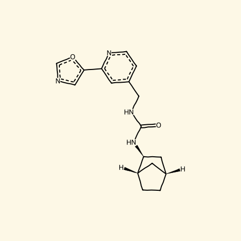 O=C(NCc1ccnc(-c2cnco2)c1)N[C@H]1C[C@@H]2CC[C@H]1C2